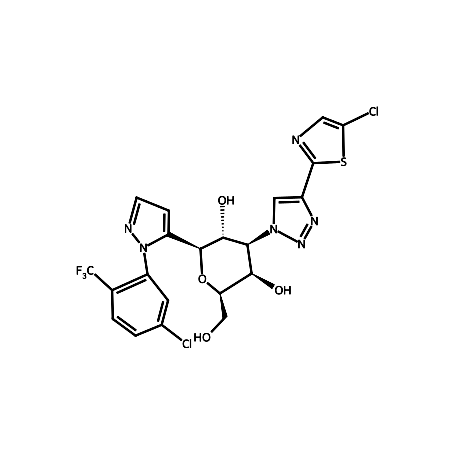 OC[C@H]1O[C@@H](c2ccnn2-c2cc(Cl)ccc2C(F)(F)F)[C@H](O)[C@@H](n2cc(-c3ncc(Cl)s3)nn2)[C@H]1O